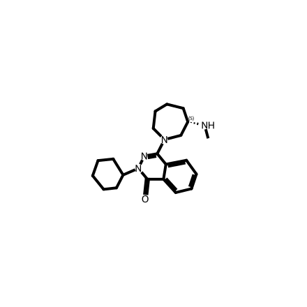 CN[C@H]1CCCCN(c2nn(C3CCCCC3)c(=O)c3ccccc23)C1